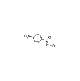 CCCN=C(Cl)c1ccc([N+](=O)[O-])cc1